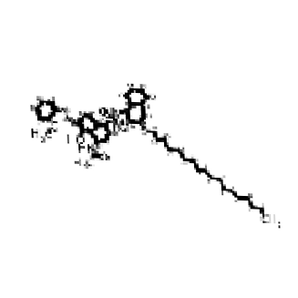 CCCCCCCCCCCCCCCCCCSc1cc2ccccc2c(NS(=O)(=O)c2ccc(NC(C)=O)c3c(O)c(N=Nc4ccccc4OC)ccc23)c1O